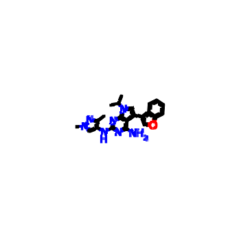 Cc1nn(C)cc1Nc1nc(N)c2c(-c3coc4ccccc34)cn(C(C)C)c2n1